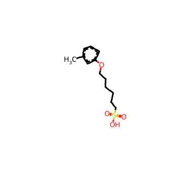 Cc1cccc(OCCCCCCS(=O)(=O)O)c1